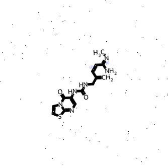 C=C(/C=C\C(N)=N/C)CNC(=O)Nc1cnc2sccn2c1=O